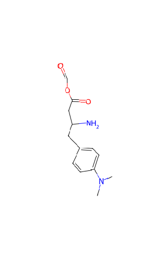 CN(C)c1ccc(CC(N)CC(=O)OC=O)cc1